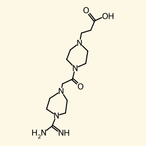 N=C(N)N1CCN(CC(=O)N2CCN(CCC(=O)O)CC2)CC1